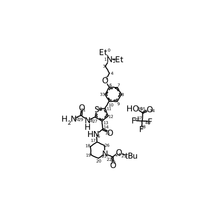 CCN(CC)CCOc1cccc(-c2cc(C(=O)NC3CCCN(C(=O)OC(C)(C)C)C3)c(NC(N)=O)s2)c1.O=C(O)C(F)(F)F